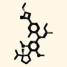 CC/C(C)=C\N(c1cc(OC)c(C2CCCC2(F)C(C)C)c(OC)c1)c1ccc(C2=C[C@@H](CC)N2)cc1C